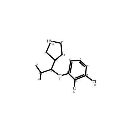 CC(C)C(Oc1cccc(Cl)c1Cl)C1CCNC1